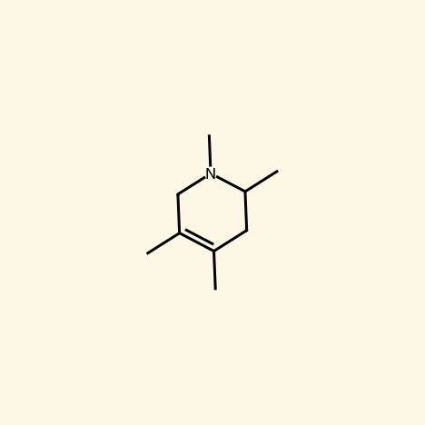 CC1=C(C)CN(C)C(C)C1